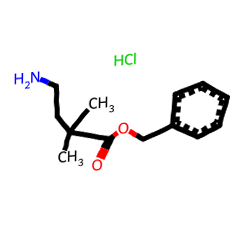 CC(C)(CCN)C(=O)OCc1ccccc1.Cl